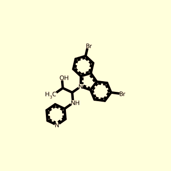 CC(O)C(Nc1cccnc1)n1c2ccc(Br)cc2c2cc(Br)ccc21